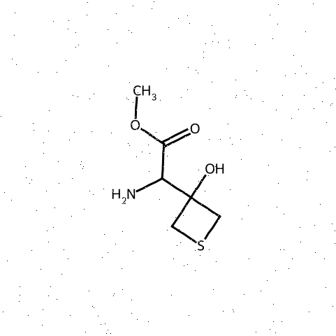 COC(=O)C(N)C1(O)CSC1